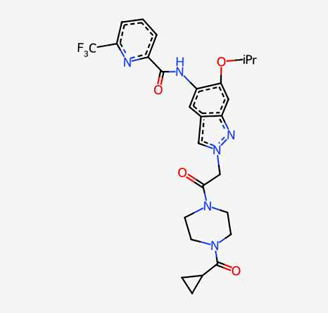 CC(C)Oc1cc2nn(CC(=O)N3CCN(C(=O)C4CC4)CC3)cc2cc1NC(=O)c1cccc(C(F)(F)F)n1